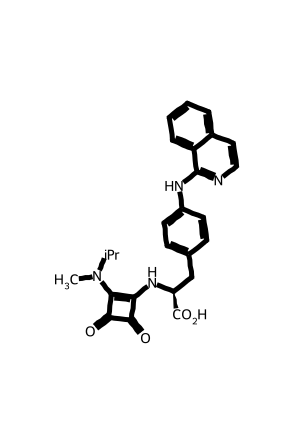 CC(C)N(C)c1c(N[C@@H](Cc2ccc(Nc3nccc4ccccc34)cc2)C(=O)O)c(=O)c1=O